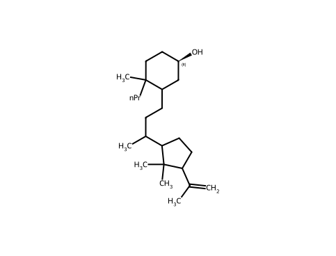 C=C(C)C1CCC(C(C)CCC2C[C@H](O)CCC2(C)CCC)C1(C)C